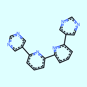 c1cc(-c2cncnc2)nc(-c2cccc(-c3cncnc3)n2)c1